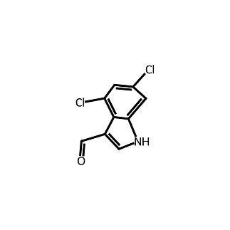 O=Cc1c[nH]c2cc(Cl)cc(Cl)c12